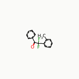 Cc1ccccc1C(F)(F)C(=O)c1ccccc1